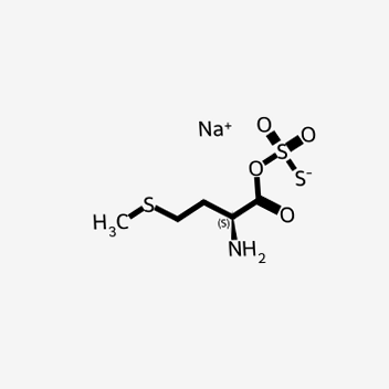 CSCC[C@H](N)C(=O)OS(=O)(=O)[S-].[Na+]